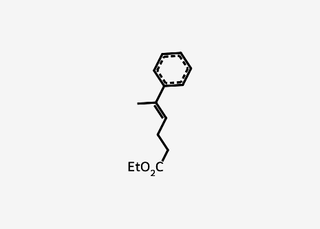 CCOC(=O)CCC=C(C)c1ccccc1